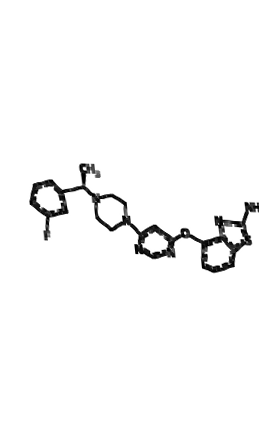 CC(=O)Nc1nc2c(Oc3cc(N4CCN([C@H](C)c5cccc(F)c5)CC4)ncn3)cccc2s1